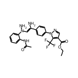 CCOC(=O)c1cnn(-c2ccc(/C(N)=C/N(N)c3ccccc3NC(C)=O)cc2)c1C(F)(F)F